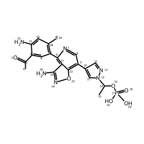 CC(=O)c1cc(-c2ncc(-c3cnn(C(C)OP(=O)(O)O)c3)c3onc(N)c23)c(F)cc1N